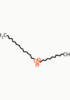 CCCCCCCCCCCCCCCCOS(=O)(=O)CCCCCCCCCCC